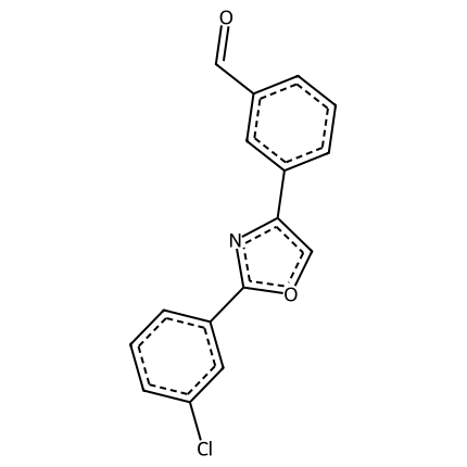 O=Cc1cccc(-c2coc(-c3cccc(Cl)c3)n2)c1